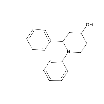 OC1CCN(c2ccccc2)C(c2ccccc2)C1